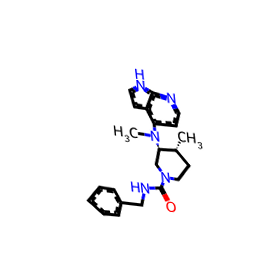 C[C@@H]1CCN(C(=O)NCc2ccccc2)C[C@@H]1N(C)c1ccnc2[nH]ccc12